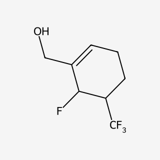 OCC1=CCCC(C(F)(F)F)C1F